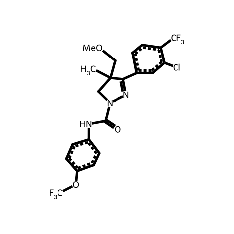 COCC1(C)CN(C(=O)Nc2ccc(OC(F)(F)F)cc2)N=C1c1ccc(C(F)(F)F)c(Cl)c1